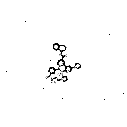 CN(CCN1CCC[C@H]1C(=O)O)C(=O)c1cccc(C(=O)Nc2ccc(N3CCCCC3)cc2-c2cc(C(=O)NC3CCCc4ccccc43)ccn2)c1